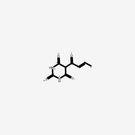 C/C=C/C(=O)C1C(=O)NC(=S)NC1=O